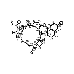 CCC(=O)N1N[C@@H]2[C@@H](C)C/C=C/[C@H](OC)[C@@H]3CC[C@H]3CN3C[C@@]4(CCCc5cc(Cl)ccc54)COc4ccc(cc43)C(=O)N=[S@]21=O